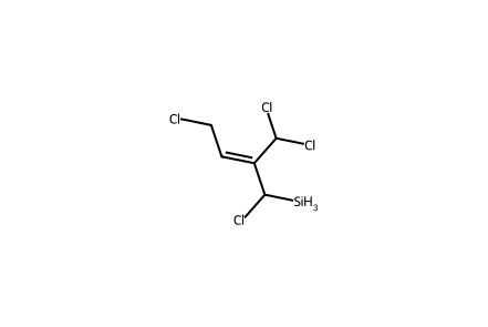 [SiH3]C(Cl)C(=CCCl)C(Cl)Cl